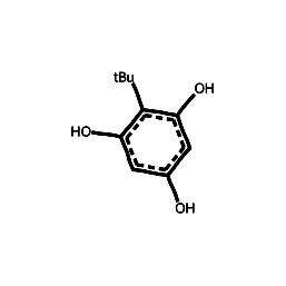 CC(C)(C)c1c(O)cc(O)cc1O